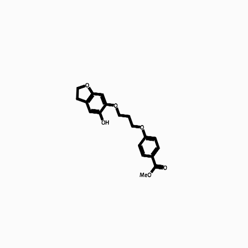 COC(=O)c1ccc(OCCCOc2cc3c(cc2O)CCO3)cc1